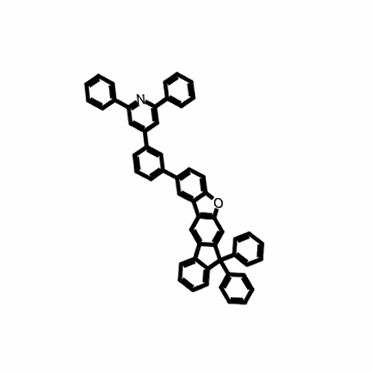 c1ccc(-c2cc(-c3cccc(-c4ccc5oc6cc7c(cc6c5c4)-c4ccccc4C7(c4ccccc4)c4ccccc4)c3)cc(-c3ccccc3)n2)cc1